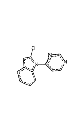 Clc1cc2ccccc2n1-c1ccncn1